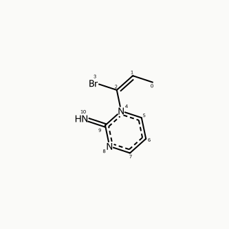 C/C=C(/Br)n1cccnc1=N